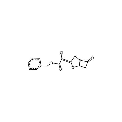 O=C(OCc1ccccc1)/C(Cl)=C1/CN2C(=O)CC2O1